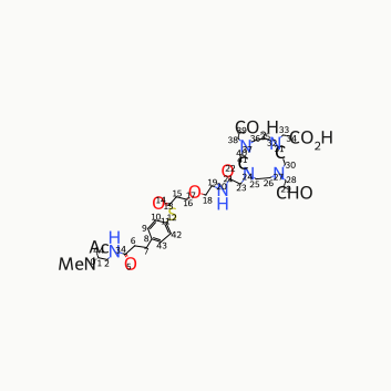 CN[C@@H](CNC(=O)CCc1ccc(SC(=O)CCOCCNC(=O)CN2CCN(CC=O)CCN(CC(=O)O)CCN(CC(=O)O)CC2)cc1)C(C)=O